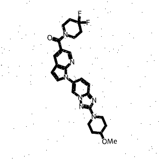 COC1CCN(c2nc3ccc(-n4ccc5cc(C(=O)N6CCC(F)(F)CC6)cnc54)cn3n2)CC1